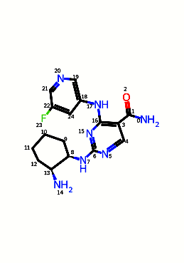 NC(=O)c1cnc(N[C@@H]2CCCC[C@@H]2N)nc1Nc1cncc(F)c1